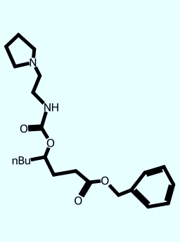 CCCCC(CCC(=O)OCc1ccccc1)OC(=O)NCCN1CCCC1